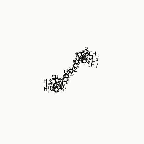 CC(C)c1ccc(N(c2ccc3cc4c(cc3c2)oc2cc3c(cc24)oc2cc4cc(N(c5ccc(C(C)C)cc5)c5cccc6c5oc5c(C(C)(C)C)cccc56)ccc4cc23)c2cccc3c2oc2c(C(C)(C)C)cccc23)cc1